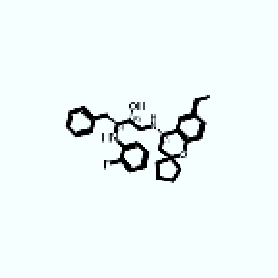 CCc1ccc2c(c1)[C@@H](NC[C@@H](O)[C@H](Cc1ccccc1)Nc1ccccc1F)CC1(CCCC1)O2